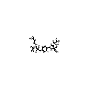 CNCCCN(C(C)=O)C(C)(C)Cc1ccc(CCC(C)(SC)C(C)S(C)(C)C(C)C)cc1